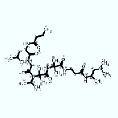 CCCC(=O)N[C@@H](CC(C)C)C(=O)NCC(=O)N(C(C)C)C(C)(C)C(=O)NC(C)(C)C(=O)NCCC(=O)NC(C)CN(C)C